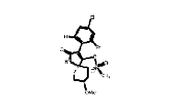 CCc1cc(Cl)cc(CC)c1C1=C(OS(C)(=O)=O)[C@]2(CC[C@H](OC)CC2)NC1=O